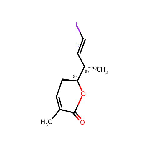 CC1=CC[C@@H]([C@@H](C)/C=C/I)OC1=O